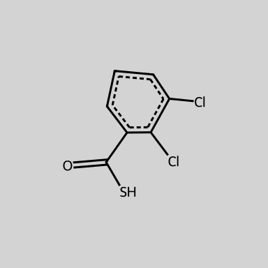 O=C(S)c1cccc(Cl)c1Cl